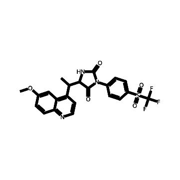 COc1ccc2nccc(C(C)C3NC(=O)N(c4ccc(S(=O)(=O)C(F)(F)F)cc4)C3=O)c2c1